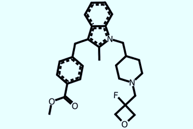 COC(=O)c1ccc(Cc2c(C)n(CC3CCN(CC4(F)COC4)CC3)c3ccccc23)cc1